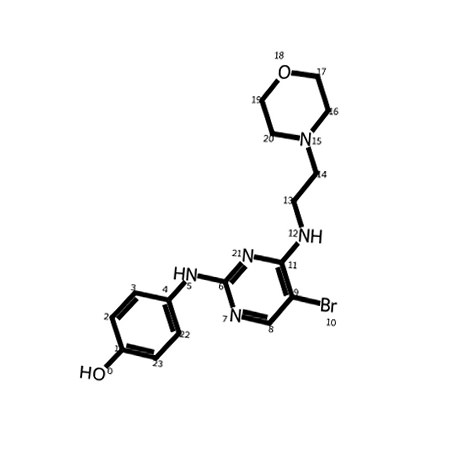 Oc1ccc(Nc2ncc(Br)c(NCCN3CCOCC3)n2)cc1